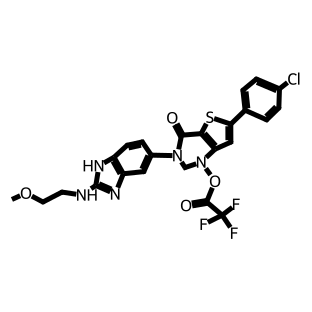 COCCNc1nc2cc(N3CN(OC(=O)C(F)(F)F)c4cc(-c5ccc(Cl)cc5)sc4C3=O)ccc2[nH]1